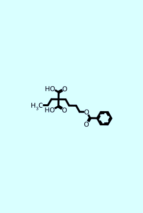 CCCC(CCCCOC(=O)c1ccccc1)(C(=O)O)C(=O)O